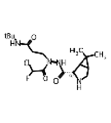 CC(C)(C)NC(=O)CCN(NC(=O)[C@H]1NCC2C1C2(C)C)C(=O)C(F)Cl